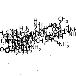 CCCC[C@H](NC(=O)[C@H](CCCNC(=N)N)NC(=O)[C@H](CCCN)NC(=O)[C@H](CS)NC(=O)[C@H](CCCCN)NC(=O)[C@@H](CCN)NC(=O)[C@@H](NC(=O)[C@H](CCN)NC(=O)[C@H](CCCNC(=N)N)NC(=O)[C@H](CC(N)=O)NC(=O)[C@@H](NC(=O)[C@H](Cc1ccc(O)cc1)NC(=O)[C@@H](NC(=O)[C@@H](N)[C@@H](C)CC)[C@@H](C)CC)C(C)(C)S)[C@@H](C)O)C(=O)O